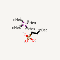 CCCCCCCCCCCCS(=O)(=O)[O-].CCCCCC[P+](CCCCCC)(CCCCCC)CCCCCC